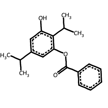 CC(C)c1cc(O)c(C(C)C)c(OC(=O)c2ccccc2)c1